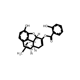 CN1CC[C@]23c4c5ccc(O)c4O[C@H]2C(OC(=O)c2ccccc2O)=CC[C@H]3[C@H]1C5